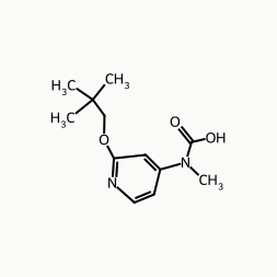 CN(C(=O)O)c1ccnc(OCC(C)(C)C)c1